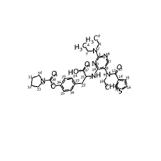 CCN(CC)c1ncc(N(CC)C(=O)c2ccsc2)c(NC(Cc2ccc(OC(=O)N3CCCC3)cc2)C(=O)O)n1